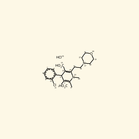 CC1=C(C(=O)O)C(c2ccccc2Cl)C(C(=O)O)=C(CCN2CCOCC2)N1C.Cl